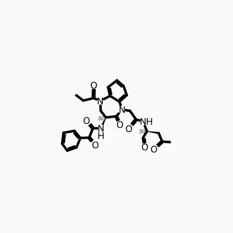 CCC(=O)N1C[C@H](NC(=O)C(=O)c2ccccc2)C(=O)N(CC(=O)N[C@H](C=O)CC(C)=O)c2ccccc21